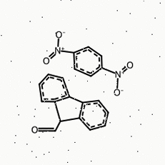 O=CC1c2ccccc2-c2ccccc21.O=[N+]([O-])c1ccc([N+](=O)[O-])cc1